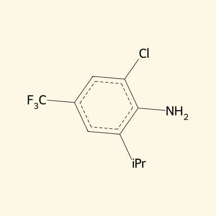 CC(C)c1cc(C(F)(F)F)cc(Cl)c1N